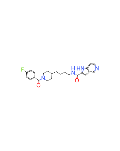 O=C(NCCCCC1CCN(C(=O)c2ccc(F)cc2)CC1)c1cc2cnccc2[nH]1